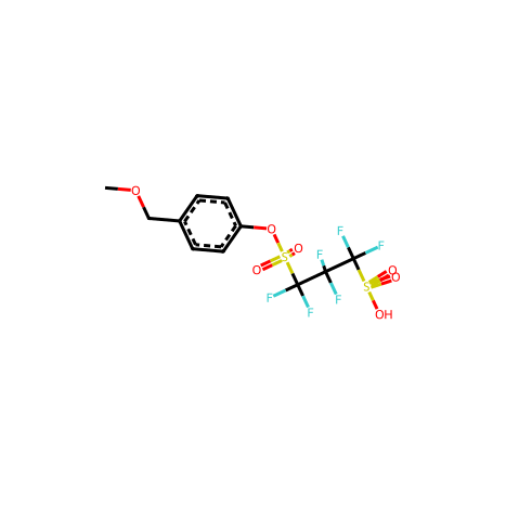 COCc1ccc(OS(=O)(=O)C(F)(F)C(F)(F)C(F)(F)S(=O)(=O)O)cc1